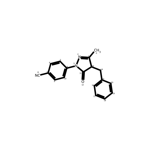 CC1=NN(c2ccc(C#N)cc2)C(=O)C1Cc1ccccc1